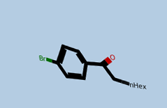 CCCCCCCC(=O)c1ccc(Br)cc1